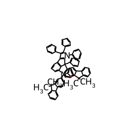 CC1(C)c2ccccc2-c2ccc(N(c3ccc4c(c3)C(C)(C)c3ccccc3-4)c3cccc4c3C(c3ccccc3)(c3ccccc3)c3c-4c(-c4ccccc4)c(-c4ccccc4)n3-c3ccccc3)cc21